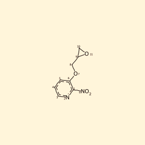 O=[N+]([O-])c1ncccc1OCC1CO1